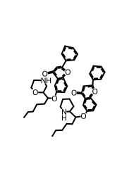 CCCCCC(Oc1ccc2oc(-c3ccccc3)cc(=O)c2c1)C1CCCCN1.CCCCCC(Oc1ccc2oc(-c3ccccc3)cc(=O)c2c1)C1CNCCO1